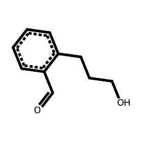 O=Cc1ccccc1CCCO